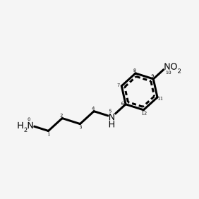 NCCCCNc1ccc([N+](=O)[O-])cc1